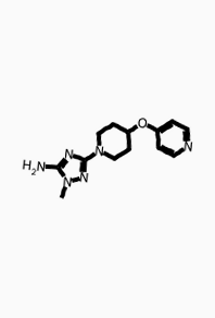 Cn1nc(N2CCC(Oc3ccncc3)CC2)nc1N